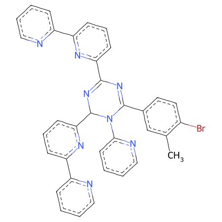 Cc1cc(C2=NC(c3cccc(-c4ccccn4)n3)=NC(c3cccc(-c4ccccn4)n3)N2c2ccccn2)ccc1Br